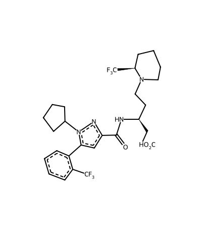 O=C(O)C[C@H](CCN1CCCC[C@@H]1C(F)(F)F)NC(=O)c1cc(-c2ccccc2C(F)(F)F)n(C2CCCC2)n1